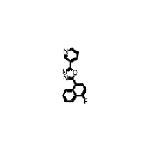 Fc1ccc(-c2nnc(-c3cccnc3)o2)c2ccccc12